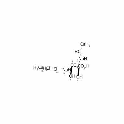 Cl.Cl.Cl.O=C(O)O.O=C(O)O.[CaH2].[CaH2].[NaH].[NaH]